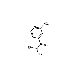 CCCN(CC)C(=O)c1ccnc([N+](=O)[O-])c1